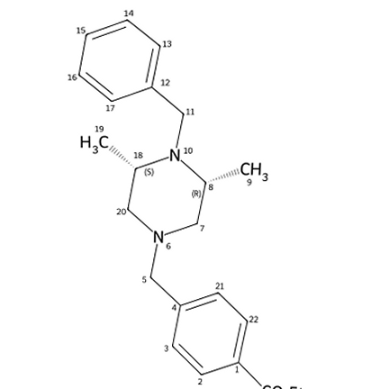 CCOC(=O)c1ccc(CN2C[C@@H](C)N(Cc3ccccc3)[C@@H](C)C2)cc1